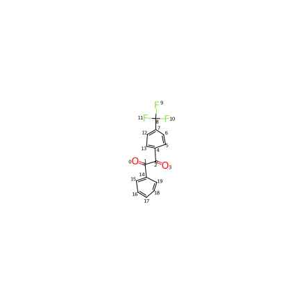 O=C(C(=O)c1ccc(C(F)(F)F)cc1)c1ccccc1